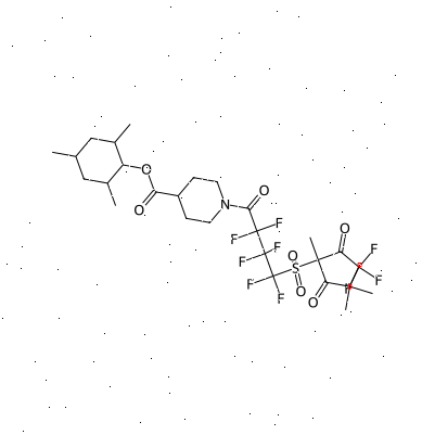 CC1CC(C)C(OC(=O)C2CCN(C(=O)C(F)(F)C(F)(F)C(F)(F)S(=O)(=O)C(C)(C(=O)C(C)(C)C)C(=O)C(F)(F)F)CC2)C(C)C1